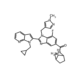 Cn1cc(Cn2c(-c3cc4cccnc4n3CC3CC3)nc3cc(C(=O)N4CC5CCC4[C@@H]5N)cc(F)c32)cn1